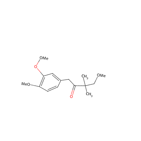 COCC(C)(C)C(=O)Cc1ccc(OC)c(OOC)c1